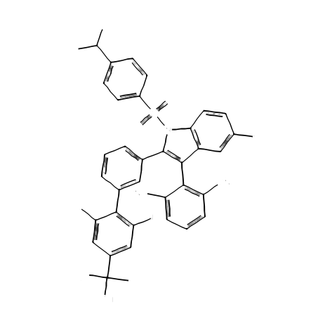 CC(O)(C(=O)O)c1cc(F)c(-c2cccc(-c3c(-c4c(C#N)cccc4C#N)c4cc(F)ccc4n3S(=O)(=O)c3ccc(C(F)F)cc3)c2)c(F)c1